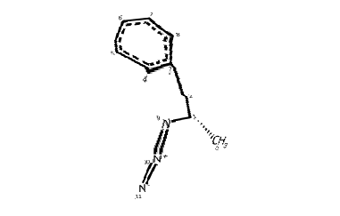 C[C@@H](Cc1ccccc1)N=[N+]=[N-]